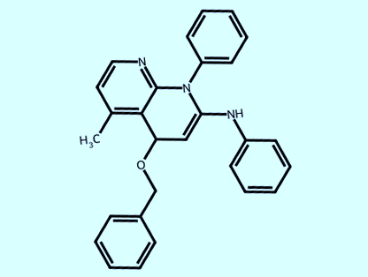 Cc1ccnc2c1C(OCc1ccccc1)C=C(Nc1ccccc1)N2c1ccccc1